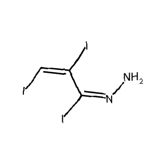 N/N=C(I)\C(I)=C/I